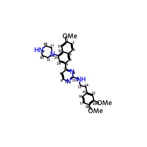 COc1ccc2cc(-c3ccnc(NCCc4ccc(OC)c(OC)c4)n3)cc(N3CCNCC3)c2c1